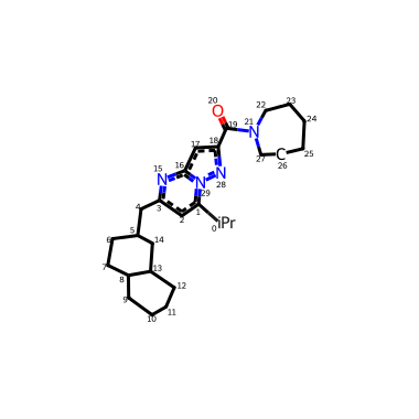 CC(C)c1cc(CC2CCC3CCCCC3C2)nc2cc(C(=O)N3CCCCCC3)nn12